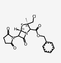 C[C@@]1(CCl)S[C@H]2C(N3C(=O)CCC3=O)C(=O)N2C1C(=O)OCc1ccccc1